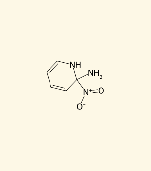 NC1([N+](=O)[O-])C=CC=CN1